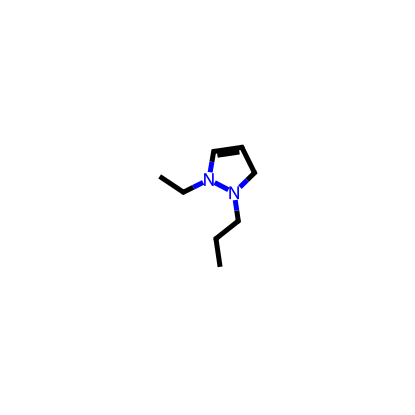 CCCN1CC=CN1CC